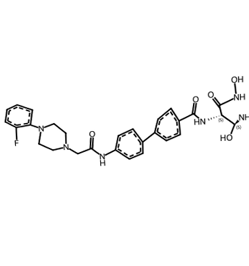 N[C@@H](O)[C@H](NC(=O)c1ccc(-c2ccc(NC(=O)CN3CCN(c4ccccc4F)CC3)cc2)cc1)C(=O)NO